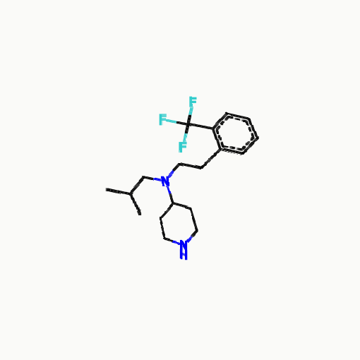 CC(C)CN(CCc1ccccc1C(F)(F)F)C1CCNCC1